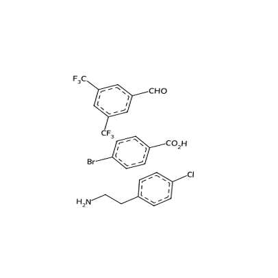 NCCc1ccc(Cl)cc1.O=C(O)c1ccc(Br)cc1.O=Cc1cc(C(F)(F)F)cc(C(F)(F)F)c1